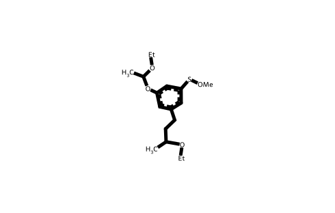 CCOC(C)CCc1cc(OC(C)OCC)cc(SOC)c1